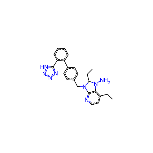 CCc1ccnc2c1N(N)C(CC)N2Cc1ccc(-c2ccccc2-c2nnn[nH]2)cc1